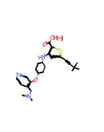 CN(C)Cc1ccncc1O[C@H]1CC[C@H](Nc2cc(C#CC(C)(C)C)sc2C(=O)O)CC1